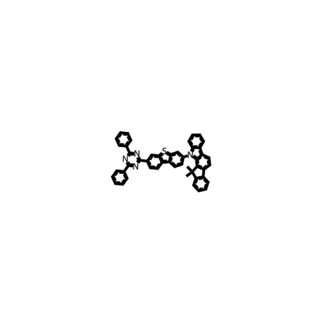 CC1(C)c2ccccc2-c2ccc3c4ccccc4n(-c4ccc5c(c4)sc4cc(-c6nc(-c7ccccc7)nc(-c7ccccc7)n6)ccc45)c3c21